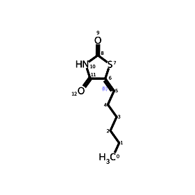 CCCCC/C=C1/SC(=O)NC1=O